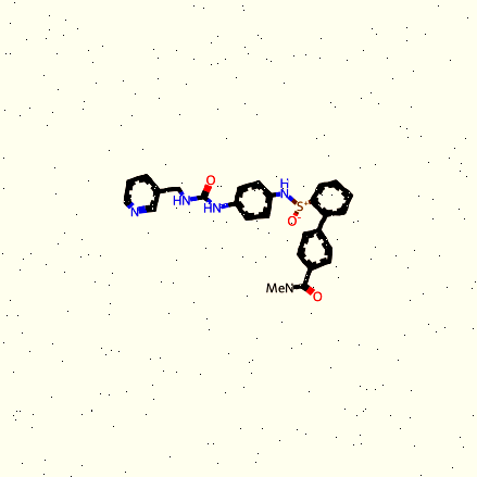 CNC(=O)c1ccc(-c2ccccc2[S+]([O-])Nc2ccc(NC(=O)NCc3cccnc3)cc2)cc1